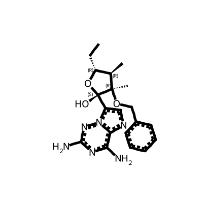 CC[C@H]1O[C@@](O)(c2cnc3c(N)nc(N)nn23)[C@](C)(OCc2ccccc2)[C@@H]1C